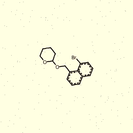 Brc1cccc2cccc(COC3CCCCO3)c12